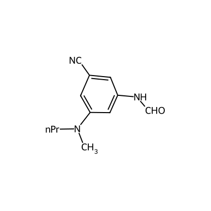 CCCN(C)c1cc(C#N)cc(NC=O)c1